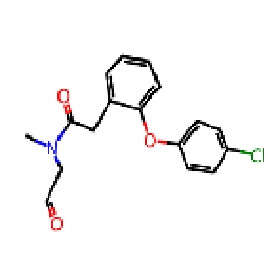 CN(CC=O)C(=O)Cc1ccccc1Oc1ccc(Cl)cc1